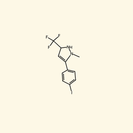 CN1NC(C(F)(F)F)C=C1c1ccc(I)cc1